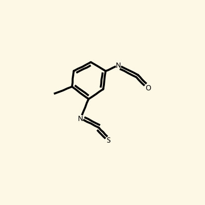 Cc1ccc(N=C=O)cc1N=C=S